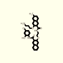 Cc1ccc2cc(C(=O)NCCOc3cc4ccccc4cc3C(=O)Nc3ccc(Cl)cc3O)c(OCCCN)cc2c1